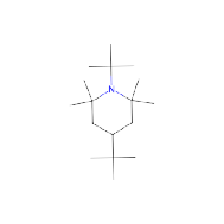 CC(C)(C)C1CC(C)(C)N(C(C)(C)C)C(C)(C)C1